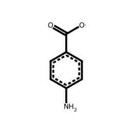 Nc1ccc(C([O])=O)cc1